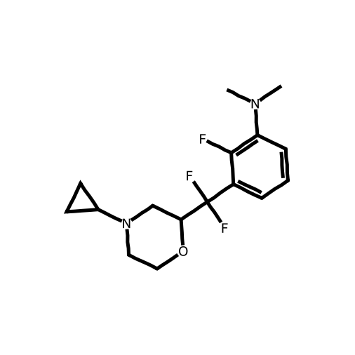 CN(C)c1cccc(C(F)(F)C2CN(C3CC3)CCO2)c1F